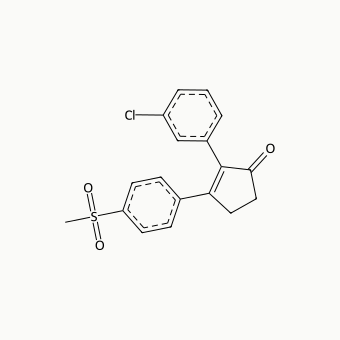 CS(=O)(=O)c1ccc(C2=C(c3cccc(Cl)c3)C(=O)CC2)cc1